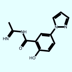 CC(=N)NC(=O)c1cc(-n2cccn2)ccc1O